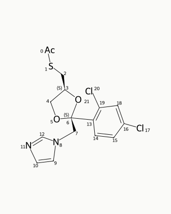 CC(=O)SC[C@@H]1CO[C@@](Cn2ccnc2)(c2ccc(Cl)cc2Cl)O1